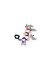 CC(C)(C)[Si](C)(C)OC[C@H]1O[C@@H](c2cn(Cc3ccccc3)c(=O)[nH]c2=O)C(O[Si](C)(C)C(C)(C)C)C1O[Si](C)(C)C(C)(C)C